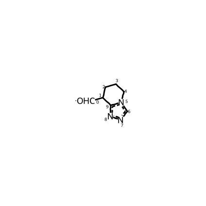 O=[C]C1CCCn2cnnc21